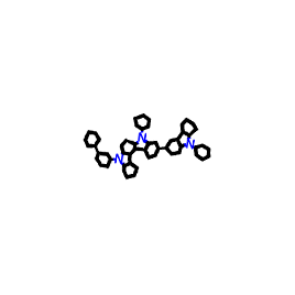 c1ccc(-c2cccc(-n3c4ccccc4c4c5c6ccc(-c7ccc8c(c7)c7ccccc7n8-c7ccccc7)cc6n(-c6ccccc6)c5ccc43)c2)cc1